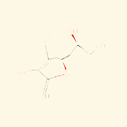 C=C1O[C@H]([C@@H](O)CO)C(OCC)=C1O